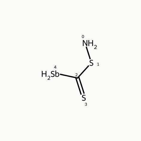 NS[C](=S)[SbH2]